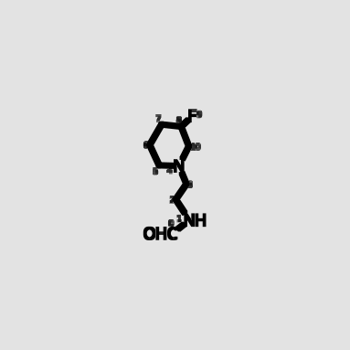 O=CNCCN1CCCC(F)C1